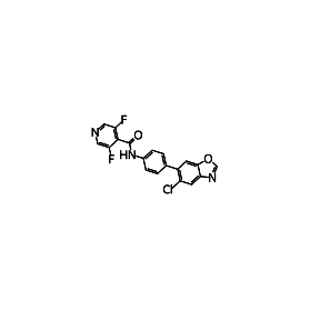 O=C(Nc1ccc(-c2cc3ocnc3cc2Cl)cc1)c1c(F)cncc1F